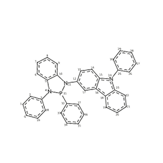 c1ccc(N2c3ccccc3N(c3ccc4c(c3)c3ccccc3n4-c3ccccc3)P2c2ccccc2)cc1